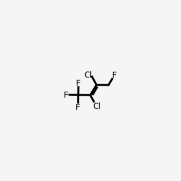 FC/C(Cl)=C(\Cl)C(F)(F)F